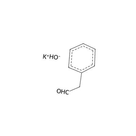 O=CCc1ccccc1.[K+].[OH-]